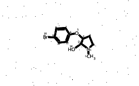 CN1CCC(Oc2ccc(Br)cc2)C1O